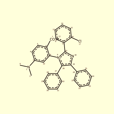 CN(C)c1ccc(C(=O)O)c(-n2c(-c3ccccc3Cl)nc(-c3ccccc3)c2-c2ccccc2)c1